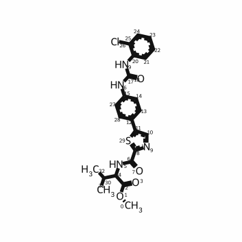 COC(=O)C(NC(=O)c1ncc(-c2ccc(NC(=O)Nc3ccccc3Cl)cc2)s1)C(C)C